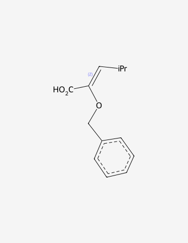 CC(C)/C=C(\OCc1ccccc1)C(=O)O